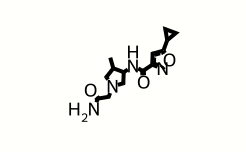 CC1CN(CC(N)=O)CC1NC(=O)c1cc(C2CC2)on1